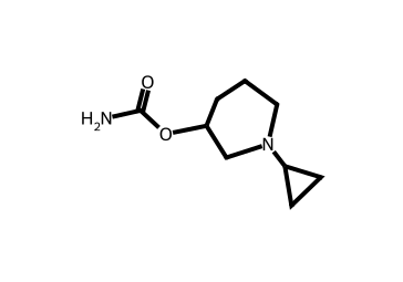 NC(=O)OC1CCCN(C2CC2)C1